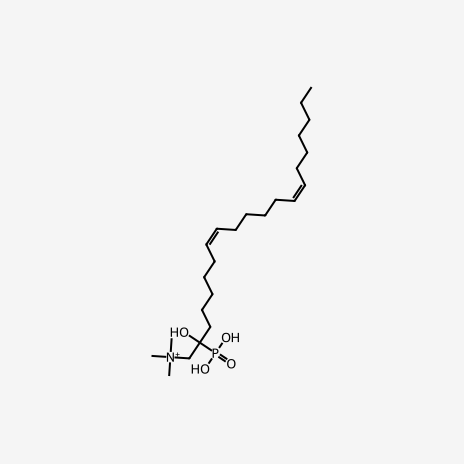 CCCCCC/C=C\CCCC/C=C\CCCCCC(O)(C[N+](C)(C)C)P(=O)(O)O